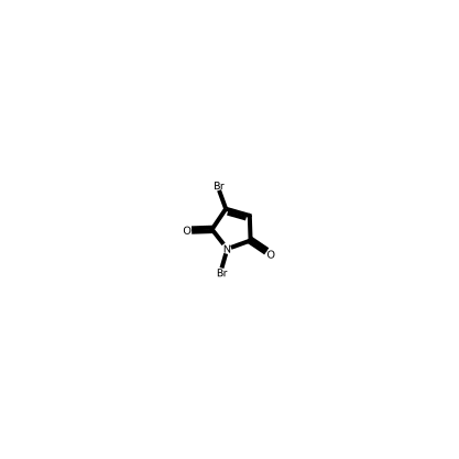 O=C1C=C(Br)C(=O)N1Br